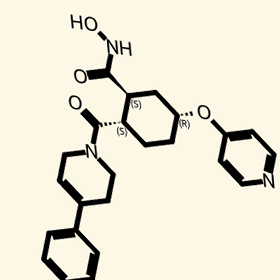 O=C(NO)[C@H]1C[C@H](Oc2ccncc2)CC[C@@H]1C(=O)N1CC=C(c2ccccc2)CC1